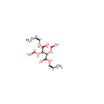 C/C=C\OC(=O)C(OC=O)C(OC=O)C(=O)O/C=C\C